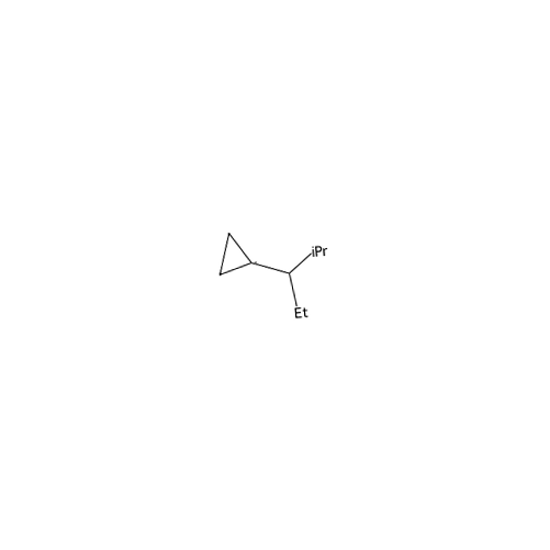 CCC([C]1CC1)C(C)C